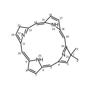 CC1(C)C=c2cc3ccc(cc4nc(cc5ccc(cc1n2)[nH]5)CC=4)[nH]3